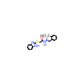 O=C(CSc1nc2ccccc2[nH]1)N/N=C/c1ccccc1C(=O)O